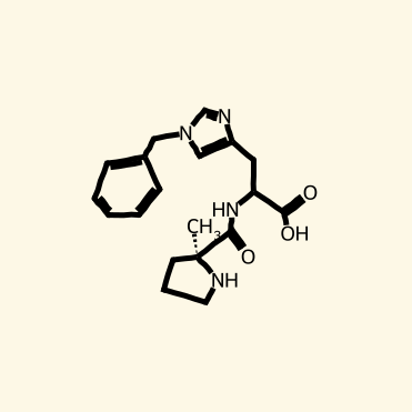 C[C@@]1(C(=O)NC(Cc2cn(Cc3ccccc3)cn2)C(=O)O)CCCN1